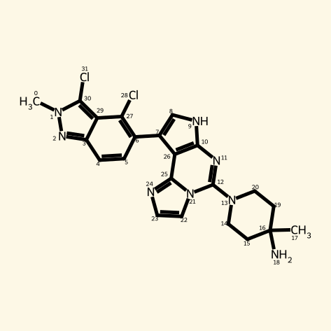 Cn1nc2ccc(-c3c[nH]c4nc(N5CCC(C)(N)CC5)n5ccnc5c34)c(Cl)c2c1Cl